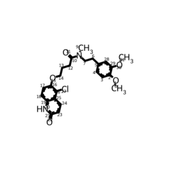 COc1ccc(CCN(C)C(=O)CCCOc2ccc3[nH]c(=O)ccc3c2Cl)cc1OC